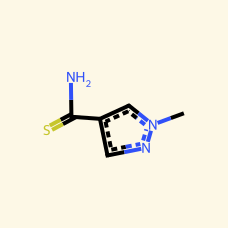 Cn1cc(C(N)=S)cn1